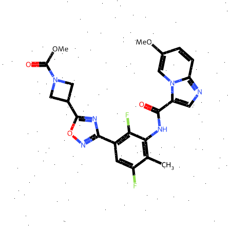 COC(=O)N1CC(c2nc(-c3cc(F)c(C)c(NC(=O)c4cnc5ccc(OC)cn45)c3F)no2)C1